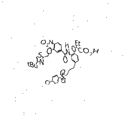 CCC(Oc1ccc(CCCS(=O)(=O)c2ccc(Cl)cc2)cc1NC(=O)c1ccc([N+](=O)[O-])c(OCc2nc(C(C)(C)C)cs2)c1)C(=O)O